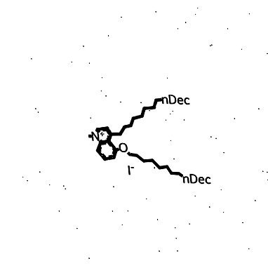 CCCCCCCCCCCCCCCCCCOc1cccc2c1c(CCCCCCCCCCCCCCCCCC)cc[n+]2C.[I-]